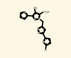 N#Cc1c(-c2cccs2)nn(Cc2cc(-c3ccc(Cl)s3)on2)c1C(=O)O